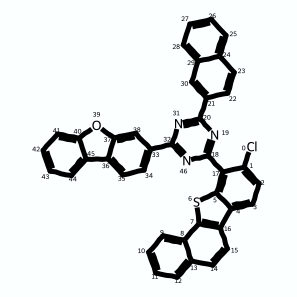 Clc1ccc2c(sc3c4ccccc4ccc23)c1-c1nc(-c2ccc3ccccc3c2)nc(-c2ccc3c(c2)oc2ccccc23)n1